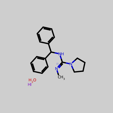 C/N=C(/NC(c1ccccc1)c1ccccc1)N1CCCC1.I.O